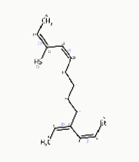 C/C=C(\C=C/CC)CCCC/C=C\C(S)=C/C